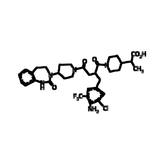 CC(C(=O)O)C1CCN(C(=O)C(CC(=O)N2CCC(N3CCc4ccccc4NC3=O)CC2)Cc2cc(Cl)c(N)c(C(F)(F)F)c2)CC1